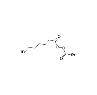 CC(C)CCCCCC(=O)OOC(=O)C(C)C